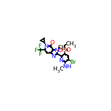 CCS(=O)(=O)c1cc(Br)c(NC)nc1-c1nc2cc(C(F)(F)F)n(C3CC3)c(=O)c2n1C